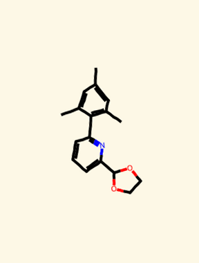 Cc1cc(C)c(-c2cccc(C3OCCO3)n2)c(C)c1